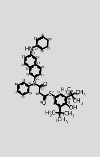 CC(C)(C)c1cc(SC(=O)CC(=O)N(c2ccccc2)c2ccc3cc(NC4=CCCC=C4)ccc3c2)cc(C(C)(C)C)c1O